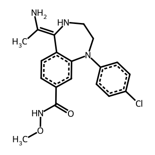 CONC(=O)c1ccc2c(c1)N(c1ccc(Cl)cc1)CCN/C2=C(/C)N